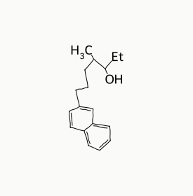 CCC(O)C(C)CCCc1ccc2ccccc2c1